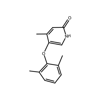 Cc1cc(=O)[nH]cc1Oc1c(C)cccc1C